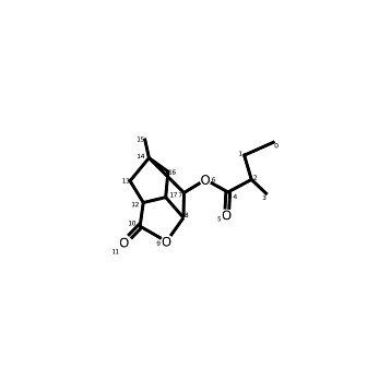 CCC(C)C(=O)OC1C2OC(=O)C3CC1(C)CC32